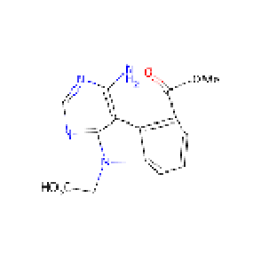 COC(=O)c1cccc2c1c1c(N)ncnc1n2CC(=O)O